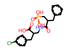 O=C(O)C(CNC(=O)C(Cc1ccccc1)CP(=O)(O)O)Cc1ccc(Cl)cc1